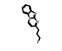 FCCCc1ccn2c(n1)nc1ccccc12